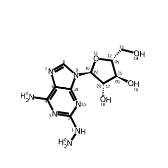 NNc1nc(N)c2ncn([C@H]3O[C@H](CO)[C@@H](O)[C@@H]3O)c2n1